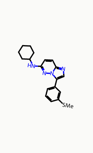 CSc1cccc(-c2cnc3ccc(NC4CCCCC4)nn23)c1